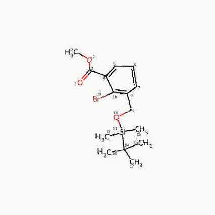 COC(=O)c1cccc(CO[Si](C)(C)C(C)(C)C)c1Br